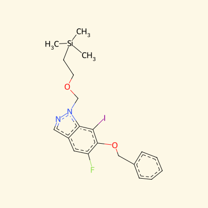 C[Si](C)(C)CCOCn1ncc2cc(F)c(OCc3ccccc3)c(I)c21